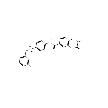 CC1Sc2ccc(C(=O)Nc3ccc(S(=O)(=O)Cc4cccc(C(F)(F)F)c4)cc3)cc2NC1=O